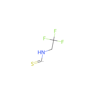 FC(F)(F)CN[C]=S